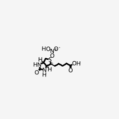 O=C(O)CCCC[C@@H]1SC[C@@H]2NC(=O)N[C@@H]21.O=[N+]([O-])O